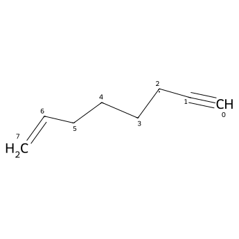 C#C[CH]CCCC=C